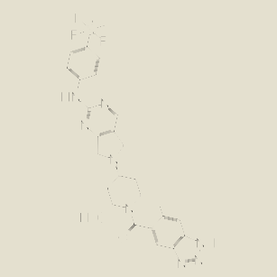 C[C@@H]1C[C@@H](N2Cc3cnc(Nc4ccc(S(F)(F)(F)(F)F)cc4)nc3C2)CCN1C(=O)c1cc2nn[nH]c2cc1F